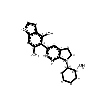 Cc1cc2occc2c(O)c1-c1cc2c(nn1)N([C@@H]1CCCC[C@H]1O)CC2